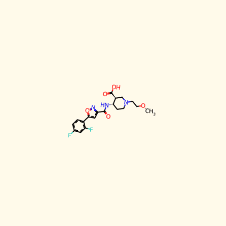 COCCN1CC[C@H](NC(=O)c2cc(-c3ccc(F)cc3F)on2)[C@@H](C(=O)O)C1